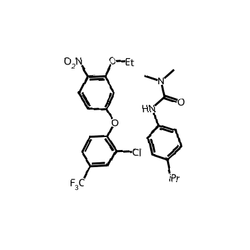 CC(C)c1ccc(NC(=O)N(C)C)cc1.CCOc1cc(Oc2ccc(C(F)(F)F)cc2Cl)ccc1[N+](=O)[O-]